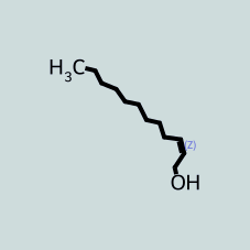 CCCCCCCCC/C=C\CO